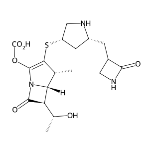 C[C@@H](O)[C@H]1C(=O)N2C(OC(=O)O)=C(S[C@@H]3CN[C@H](CC4CNC4=O)C3)[C@H](C)[C@H]12